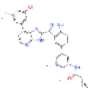 CC(C)CC(=O)Nc1cncc(-c2ccc3[nH]nc(-c4nc5c(-c6cc(O)cc(F)c6)ccnc5[nH]4)c3c2)c1